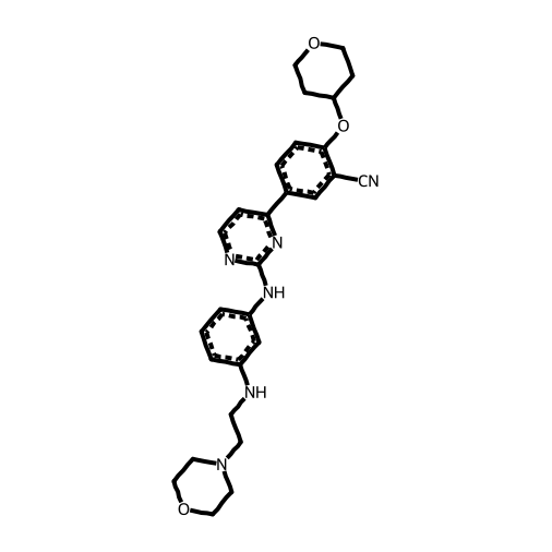 N#Cc1cc(-c2ccnc(Nc3cccc(NCCN4CCOCC4)c3)n2)ccc1OC1CCOCC1